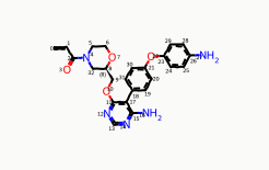 C=CC(=O)N1CCO[C@@H](COc2ncnc(N)c2-c2ccc(Oc3ccc(N)cc3)cc2)C1